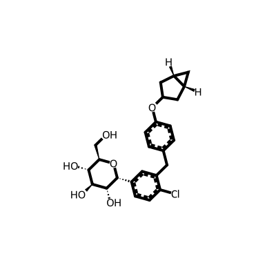 OC[C@H]1O[C@H](c2ccc(Cl)c(Cc3ccc(OC4C[C@@H]5C[C@@H]5C4)cc3)c2)[C@H](O)[C@@H](O)[C@@H]1O